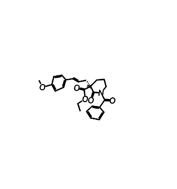 CCOC(=O)[C@@]1(CC=Cc2ccc(OC)cc2)CCCN(C(=O)c2ccccc2)C1=O